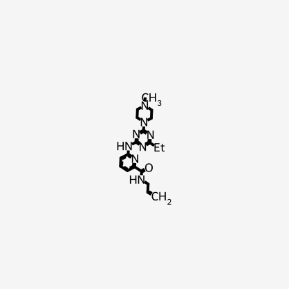 C=CCNC(=O)c1cccc(Nc2nc(CC)nc(N3CCN(C)CC3)n2)n1